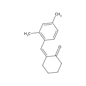 Cc1ccc(/C=C2/CCCCC2=O)c(C)c1